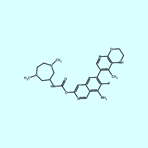 Cc1c(-c2cc3cc(OC(=O)NC4CN(C)CCN(C)C4)ncc3c(N)c2F)cnc2c1NCCO2